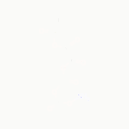 NOB([O-])OS(=O)OC(=O)C(=O)O[SH]=O.[Li+]